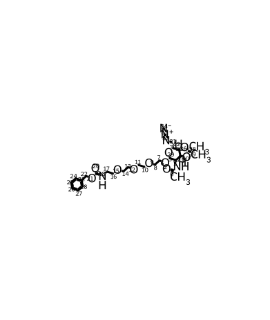 CC(=O)N[C@H]1C(OCCOCCOCCOCCNC(=O)OCc2ccccc2)O[C@H](CN=[N+]=[N-])[C@@H]2OC(C)(C)O[C@@H]21